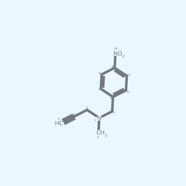 C#CCN(C)Cc1ccc([N+](=O)[O-])cc1